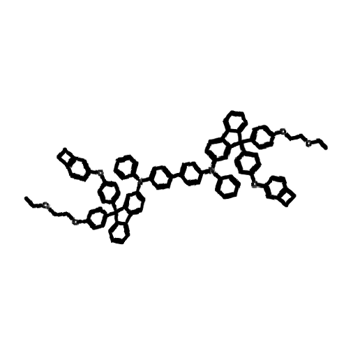 CCOCCOc1ccc(C2(c3ccc(Oc4ccc5c(c4)CC5)cc3)c3ccccc3-c3ccc(N(c4ccccc4)c4ccc(-c5ccc(N(c6ccccc6)c6ccc7c(c6)C(c6ccc(OCCOCC)cc6)(c6ccc(Oc8ccc9c(c8)CC9)cc6)c6ccccc6-7)cc5)cc4)cc32)cc1